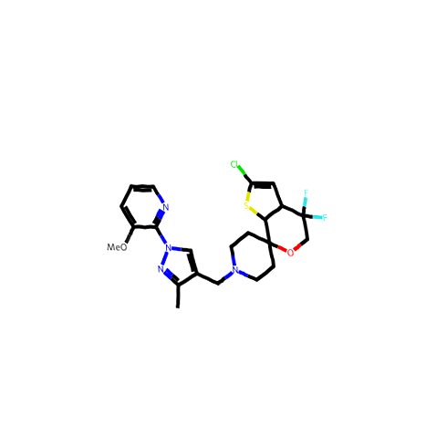 COc1cccnc1-n1cc(CN2CCC3(CC2)OCC(F)(F)C2C=C(Cl)SC23)c(C)n1